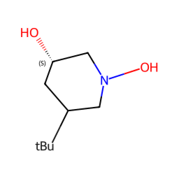 CC(C)(C)C1C[C@H](O)CN(O)C1